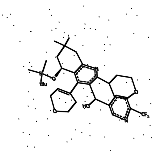 CC1(C)Cc2nc(C3CCOCC3)c(C(O)c3ccc(C(F)(F)F)nc3)c(C3=CCOCC3)c2[C@@H](O[Si](C)(C)C(C)(C)C)C1